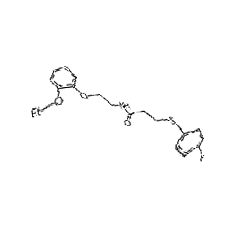 CCOc1ccccc1OCCNC(=O)CCSc1ccc(F)cc1